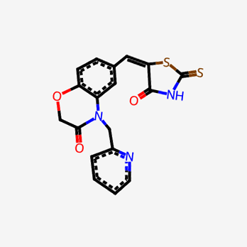 O=C1NC(=S)SC1=Cc1ccc2c(c1)N(Cc1ccccn1)C(=O)CO2